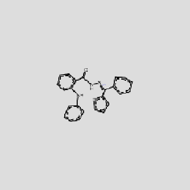 O=C(N/N=C(/c1ccccc1)c1ccco1)c1ccccc1Nc1ccccc1